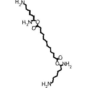 NCCCCCC(N)OC(=O)CCCCCCCCCCC(=O)OC(N)CCCCCN